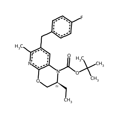 CC[C@H]1COc2nc(C)c(Cc3ccc(F)cc3)cc2N1C(=O)OC(C)(C)C